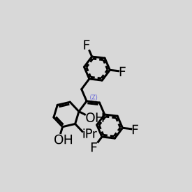 CC(C)C1C(O)=CC=CC1(O)/C(=C\c1cc(F)cc(F)c1)Cc1cc(F)cc(F)c1